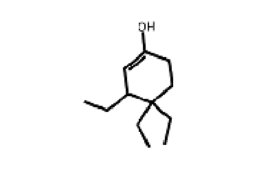 CCC1C=C(O)CCC1(CC)CC